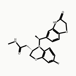 CNC(=O)C[C@H]1COc2cc(F)ccc2N1[C@@H](C)c1ccc2c(c1)NC(=O)CO2